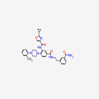 Cc1ccccc1N1CCN(c2ccc(C(=O)NCCc3cccc(C(N)=O)c3)cc2NC(=O)c2coc(C3CC3)n2)CC1